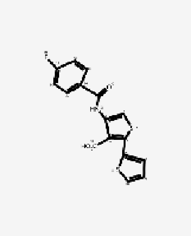 O=C(Nc1csc(-c2cccs2)c1C(=O)O)c1ccc(F)cc1